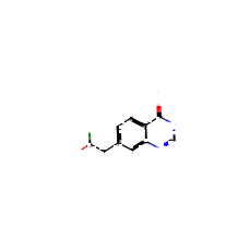 O=c1[nH]cnc2cc(CC(O)Br)ccc12